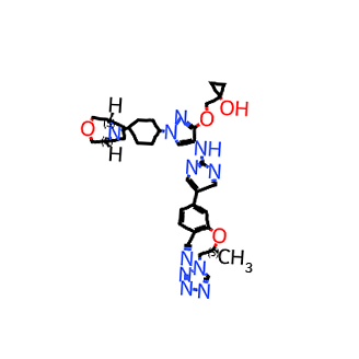 C[C@@H](Cn1cnnn1)Oc1cc(-c2cnc(Nc3cn(C4CCC(N5[C@@H]6CC[C@H]5COC6)CC4)nc3OCC3(O)CC3)nc2)ccc1C#N